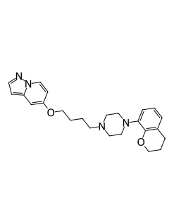 c1cc2c(c(N3CCN(CCCCOc4ccn5nccc5c4)CC3)c1)OCCC2